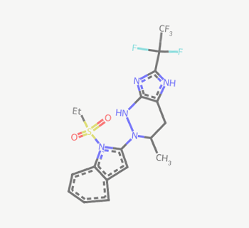 CCS(=O)(=O)n1c(N2Nc3nc(C(F)(F)C(F)(F)F)[nH]c3CC2C)cc2ccccc21